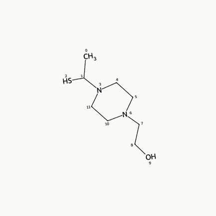 CC(S)N1CCN(CCO)CC1